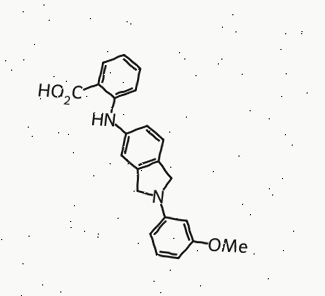 COc1cccc(N2Cc3ccc(Nc4ccccc4C(=O)O)cc3C2)c1